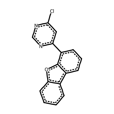 Clc1cc(-c2cccc3c2oc2ccccc23)ncn1